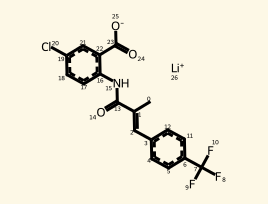 C/C(=C\c1ccc(C(F)(F)F)cc1)C(=O)Nc1ccc(Cl)cc1C(=O)[O-].[Li+]